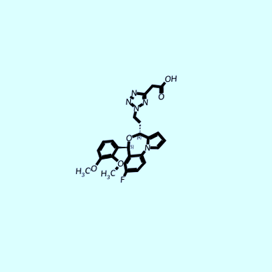 COc1cccc([C@H]2O[C@H](CCn3nnc(CC(=O)O)n3)c3cccn3-c3ccc(F)cc32)c1OC